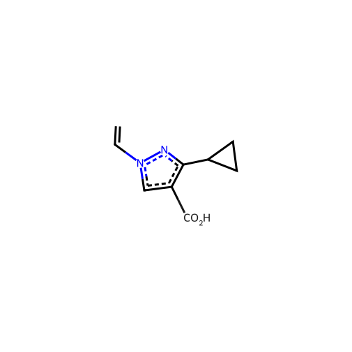 C=Cn1cc(C(=O)O)c(C2CC2)n1